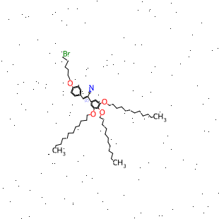 CCCCCCCCCCCCOc1cc(/C(C#N)=C/c2ccc(OCCCCCCBr)cc2)cc(OCCCCCCCCCCCC)c1OCCCCCCCCCCCC